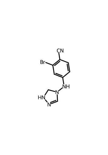 N#Cc1ccc(NN2C=NNC2)cc1Br